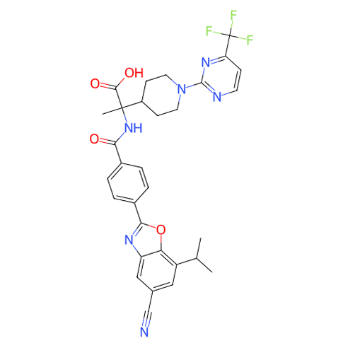 CC(C)c1cc(C#N)cc2nc(-c3ccc(C(=O)NC(C)(C(=O)O)C4CCN(c5nccc(C(F)(F)F)n5)CC4)cc3)oc12